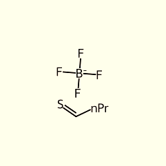 CCCC=S.F[B-](F)(F)F